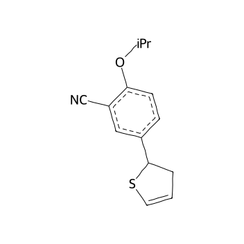 CC(C)Oc1ccc(C2CC=CS2)cc1C#N